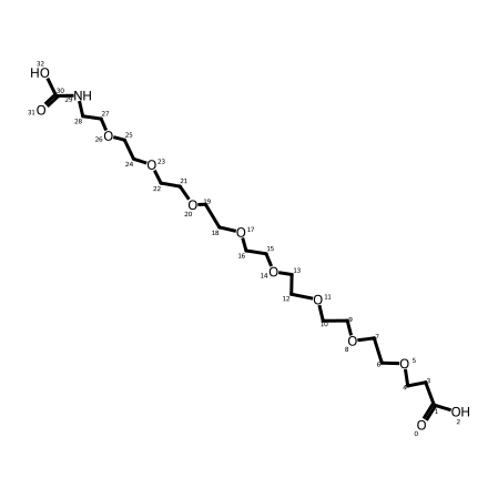 O=C(O)CCOCCOCCOCCOCCOCCOCCOCCOCCNC(=O)O